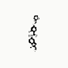 Cn1c(C=O)cc2cc(NC(=O)c3ccc(OC[C@@H]4CCCO4)cc3F)ccc21